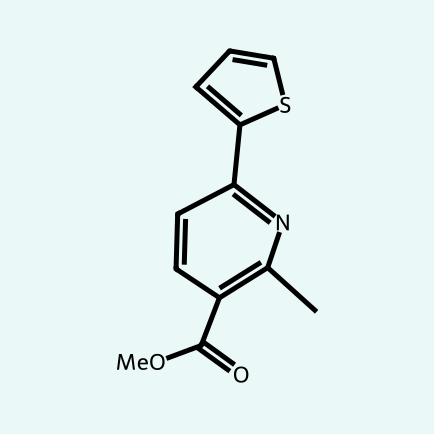 COC(=O)c1ccc(-c2cccs2)nc1C